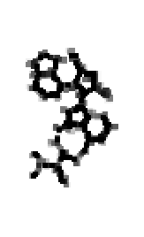 CN(C)C(=O)N1CCc2cccc3c(C4=C(c5cccc6c5OCO6)C(=O)NC4=O)cn(c23)CC1